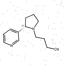 N#CCCCN1CCC[C@H]1c1cccnc1